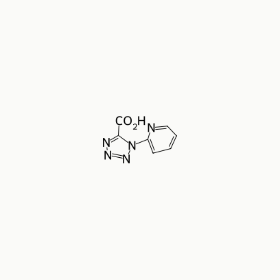 O=C(O)c1nnnn1-c1ccccn1